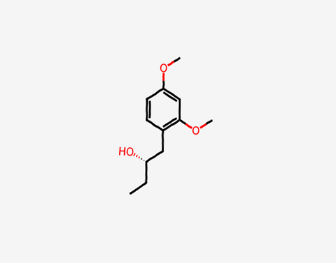 CC[C@H](O)Cc1ccc(OC)cc1OC